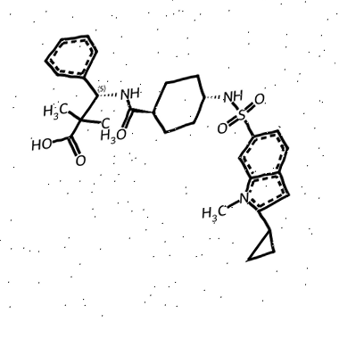 Cn1c(C2CC2)cc2ccc(S(=O)(=O)N[C@H]3CC[C@H](C(=O)N[C@@H](c4ccccc4)C(C)(C)C(=O)O)CC3)cc21